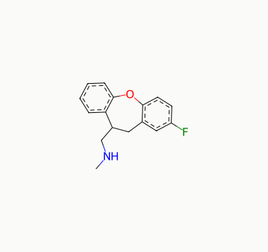 CNCC1Cc2cc(F)ccc2Oc2ccccc21